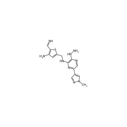 Cn1cc(-c2cnc(NN)c(NCc3cc(N)c(C=N)s3)n2)cn1